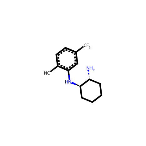 N#Cc1ccc(C(F)(F)F)cc1N[C@@H]1CCCC[C@H]1N